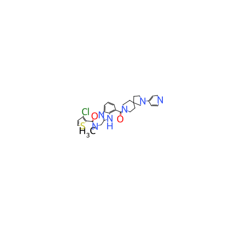 CN(Cc1nc2cccc(C(=O)N3CCC4(CC3)CCN(c3ccncc3)C4)c2[nH]1)C(=O)c1sccc1Cl